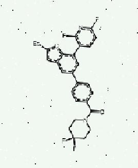 CCc1cc2cc(-c3ccc(C(=O)N4CCC(F)(F)CC4)cc3)cc(-c3ccc(F)nc3F)c2o1